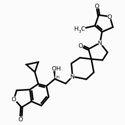 CC1=C(N2CCC3(CCN(C[C@H](O)c4ccc5c(c4C4CC4)COC5=O)CC3)C2=O)COC1=O